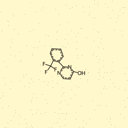 Oc1ccnc(-c2ccccc2C(F)(F)F)n1